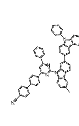 Cc1ccc2c(c1)c1ccc(-c3ccc4c(c3)c3ccccc3n4-c3ccccc3)cc1n2-c1nc(-c2ccccc2)cc(-c2ccc(-c3ccc(C#N)cc3)cc2)n1